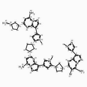 Cn1cc(-c2cnn3c(N)c(Br)c([C@@H]4CC[C@@H](c5cc(-c6cnn7c(N)cc([C@@H]8CC[C@H](c9cc(-c%10cnn%11c(N)cc([C@@H]%12CC[C@@H](N)C%12)nc%10%11)cn9C)C8)nc67)cn5C)C4)nc23)cn1